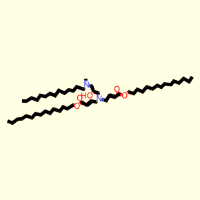 CCCCCCCCCCCCCCCOC(=O)/C=C/CN(C/C=C/C(=O)OCCCCCCCCCCCCCCC)CC(O)CN(C)CCCCCCCCCCCCCC